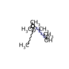 CCCCCCCCCOc1c(C)cc(C)cc1/C=C/C(C)=C/C=C/C(C)=C/C(=O)O